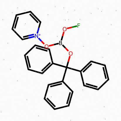 FOB(O[n+]1ccccc1)OC(c1ccccc1)(c1ccccc1)c1ccccc1